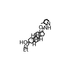 CCOC[C@@]1(O)CC[C@H]2[C@H](CC[C@@H]3[C@@H]2CC[C@]2(C)[C@@H](C(=O)Nc4ncccc4C)CC[C@@H]32)C1